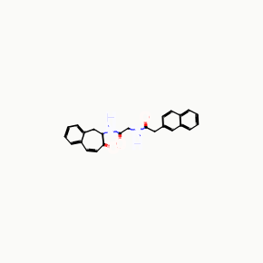 O=C(Cc1ccc2ccccc2c1)NCC(=O)NC1Cc2ccccc2C=CC1=O